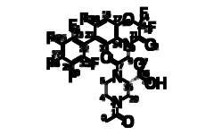 CC(=O)N1CCN(C(=O)CN2C(=O)C(F)(F)Oc3cc(F)c(-c4c(F)c(F)c(F)c(F)c4F)cc32)[C@H](C(=O)O)C1